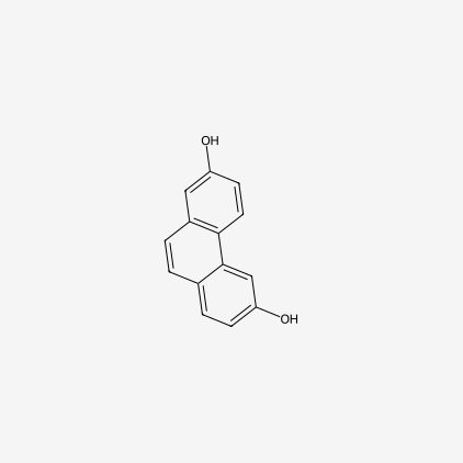 Oc1ccc2c(ccc3ccc(O)cc32)c1